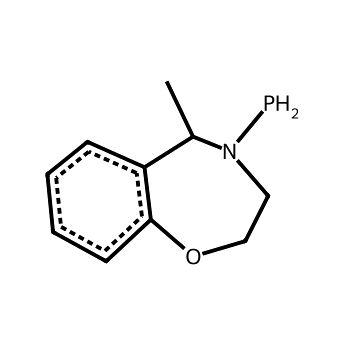 CC1c2ccccc2OCCN1P